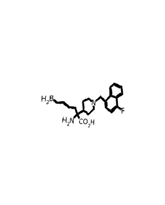 BCCCCC(N)(C(=O)O)C1CCN(Cc2ccc(F)c3ccccc23)CC1